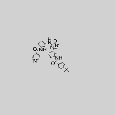 Cc1c(NC(=O)c2ccc(C(C)(C)C)cc2)cccc1-c1cn(C)c(=O)c(Nc2cccc(NC(=O)c3ccncc3)c2)n1